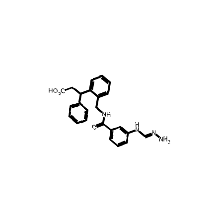 NN=CNc1cccc(C(=O)NCc2ccccc2C(CC(=O)O)c2ccccc2)c1